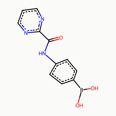 O=C(Nc1ccc(B(O)O)cc1)c1ncccn1